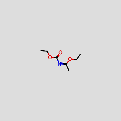 CCOC(=O)N=C(C)OCC